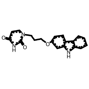 O=c1ccn(CCCOc2ccc3c(c2)[nH]c2ccccc23)c(=O)[nH]1